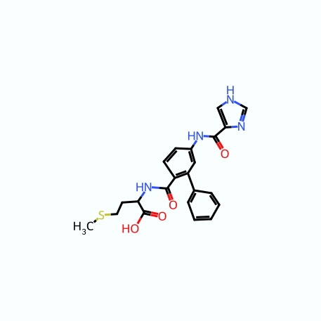 CSCCC(NC(=O)c1ccc(NC(=O)c2c[nH]cn2)cc1-c1ccccc1)C(=O)O